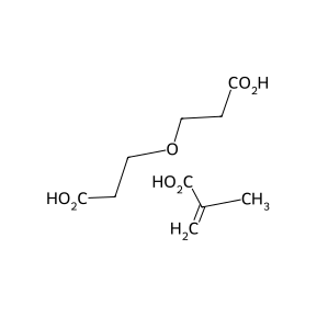 C=C(C)C(=O)O.O=C(O)CCOCCC(=O)O